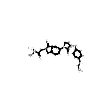 CN(C)C(=O)CN1Cc2ccc(N3CC[C@@H](Oc4ccc(OCC(F)(F)F)cc4)C3=O)cc2C1=O